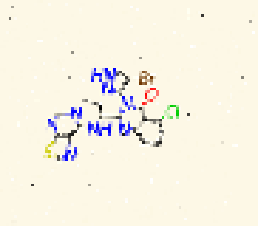 CC[C@H](Nc1ncnc2scnc12)c1nc2cccc(Cl)c2c(=O)n1-c1n[nH]cc1Br